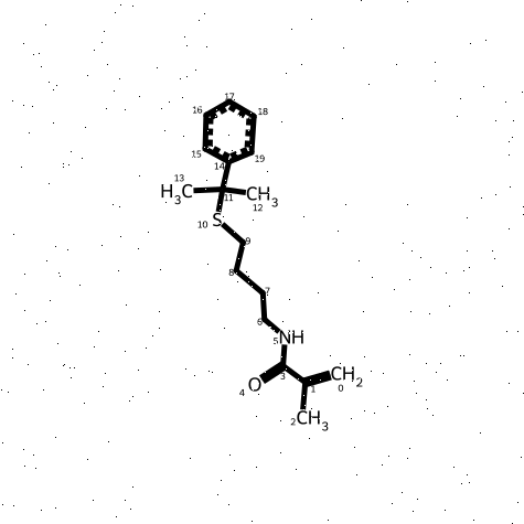 C=C(C)C(=O)NCCCCSC(C)(C)c1ccccc1